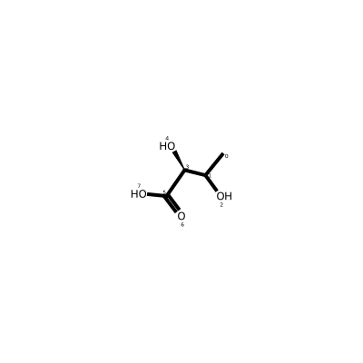 CC(O)[C@H](O)C(=O)O